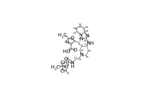 Cc1nc(C(=O)O)c(Cn2c(NC3CCN(CCNC(=O)OC(C)(C)C)CC3)nc3ccccc32)o1